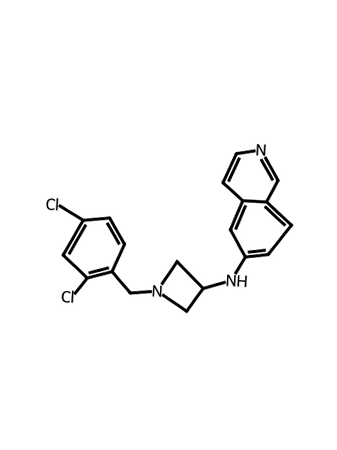 Clc1ccc(CN2CC(Nc3ccc4cnccc4c3)C2)c(Cl)c1